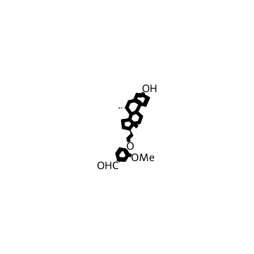 COc1cc(C=O)ccc1OCC[C@H]1CCC2C3C(CCC21C)c1ccc(O)cc1C[C@H]3C